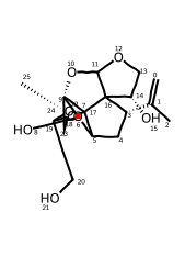 C=C(C)[C@@H]1CC2OC(O)[C@]34OC5OC[C@H](O)C51C23CC(CO)OC[C@H]4C